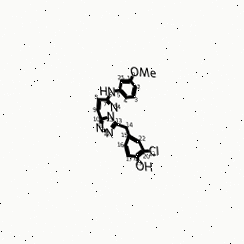 COc1cccc(Nc2ccc3nnc(Cc4ccc(O)c(Cl)c4)n3n2)c1